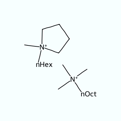 CCCCCCCC[N+](C)(C)C.CCCCCC[N+]1(C)CCCC1